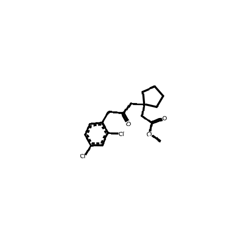 COC(=O)CC1(CC(=O)Cc2ccc(Cl)cc2Cl)CCCC1